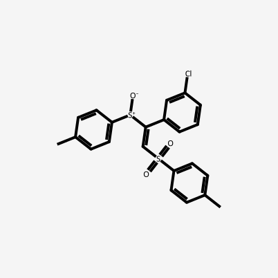 Cc1ccc([S+]([O-])C(=CS(=O)(=O)c2ccc(C)cc2)c2cccc(Cl)c2)cc1